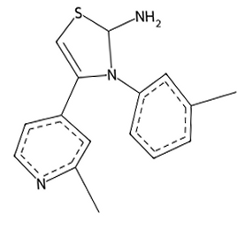 Cc1cccc(N2C(c3ccnc(C)c3)=CSC2N)c1